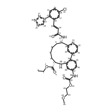 CCOC(=O)[C@@H]1CCCC[C@H](NC(=O)C=Cc2cc(Cl)ccc2-n2cnnn2)c2cc(ccn2)-c2ccc(NC(=O)OCCOC)cc2N1